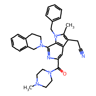 Cc1c(CC#N)c2cc(C(=O)N3CCN(C)CC3)nc(N3CCc4ccccc4C3)c2n1Cc1ccccc1